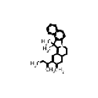 C=C(CC)C1=CC2=C3N(CCC2CC1=C)c1ccc2ccccc2c1C3(C)C